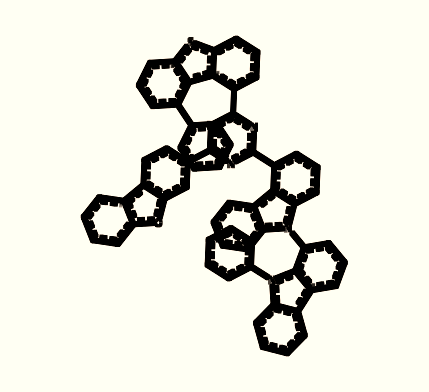 c1ccc(-c2cccc3sc4cccc(-c5nc(-c6ccc7c(c6)oc6ccccc67)nc(-c6cccc7c6c6ccccc6n7-c6cccc7c8ccccc8n(-c8ccccc8)c67)n5)c4c23)cc1